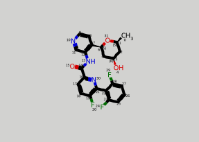 C[C@H]1C[C@@H](O)C[C@@H](c2ccncc2NC(=O)c2ccc(F)c(-c3c(F)cccc3F)n2)O1